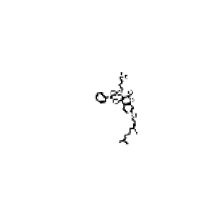 CCC=CCCOc1c(OC(=O)c2ccccc2)c2ccc(OCC=C(C)CCC=C(C)C)cc2oc1=O